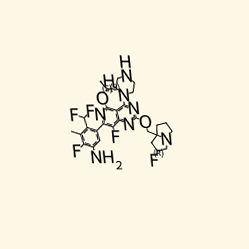 Cc1c(F)c(N)cc(-c2nc3c4c(nc(OCC56CCCN5C[C@H](F)C6)nc4c2F)N2CCNC[C@H]2[C@H](C)O3)c1C(F)F